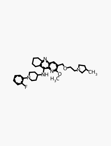 COc1nc2c(NC3CCN(c4ccccc4F)CC3)c3c(nc2cc1COCCN1CCC(C)C1)CCCC3